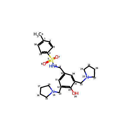 Cc1ccc(S(=O)(=O)NCc2cc(CN3CCCC3)c(O)c(CN3CCCC3)c2)cc1